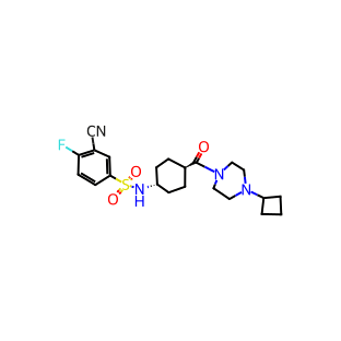 N#Cc1cc(S(=O)(=O)N[C@H]2CC[C@H](C(=O)N3CCN(C4CCC4)CC3)CC2)ccc1F